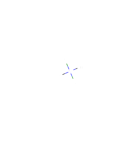 C[N+](C)(Cl)Cl